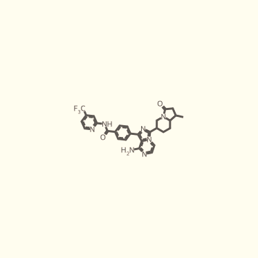 CC1CC(=O)N2CC(c3nc(-c4ccc(C(=O)Nc5cc(C(F)(F)F)ccn5)cc4)c4c(N)nccn34)CCC12